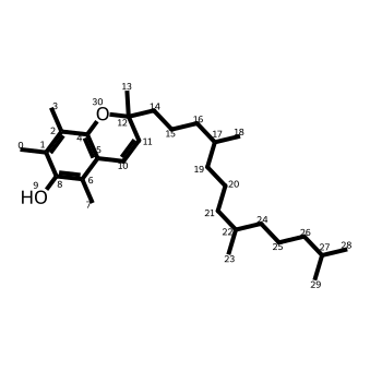 Cc1c(C)c2c(c(C)c1O)C=CC(C)(CCCC(C)CCCC(C)CCCC(C)C)O2